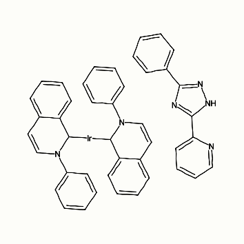 C1=CN(c2ccccc2)[CH]([Ir][CH]2c3ccccc3C=CN2c2ccccc2)c2ccccc21.c1ccc(-c2n[nH]c(-c3ccccn3)n2)cc1